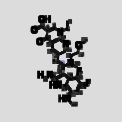 CCn1cc(C(=O)O)c(=O)c2cc(/C=C(/c3c(N)[nH]c4c(NC)cc(F)c(F)c34)N(C)CCOC)cnc21